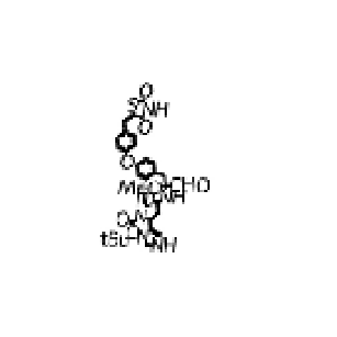 COC(C=O)(Cc1ccc(Oc2ccc(C=C3SC(=O)NC3=O)cc2)cc1)NC(=O)CC(NC(=O)OC(C)(C)C)c1c[nH]cn1